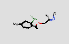 C=C(OCCNCC)c1ccc(NC)cc1Cl